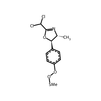 CSOOc1ccc([C@H]2OC(C(Cl)Cl)=N[C@@H]2C)cc1